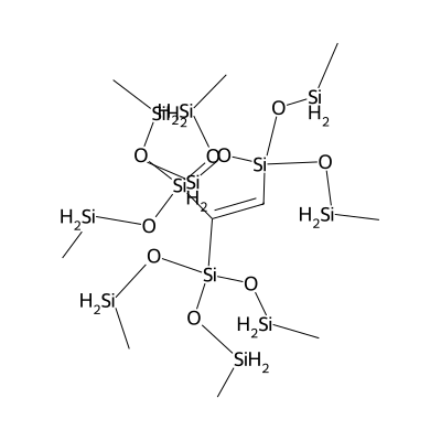 C[SiH2]O[Si](C=C([Si](O[SiH2]C)(O[SiH2]C)O[SiH2]C)[Si](O[SiH2]C)(O[SiH2]C)O[SiH2]C)(O[SiH2]C)O[SiH2]C